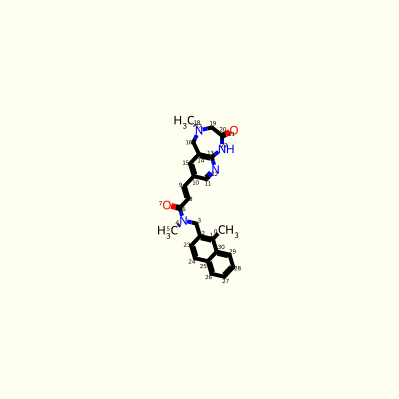 Cc1c(CN(C)C(=O)/C=C/c2cnc3c(c2)CN(C)CC(=O)N3)ccc2ccccc12